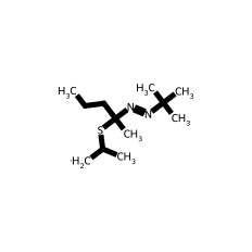 [CH2]C(C)SC(C)(CCC)/N=N/C(C)(C)C